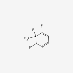 CC1(F)C(F)=CC=[C]C1F